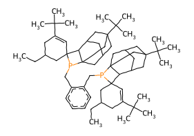 CCC1CC(C(C)(C)C)=CC2(C1)C1C3CC4CC1(CC(C(C)(C)C)(C4)C3)P2Cc1ccccc1CP1C2(C=C(C(C)(C)C)CC(CC)C2)C2C3CC4CC21CC(C(C)(C)C)(C4)C3